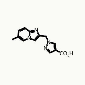 Cc1ccc2nc(Cn3cc(C(=O)O)cn3)cn2c1